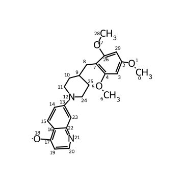 COc1cc(OC)c(CC2CCN(c3ccc4c([O])ccnc4c3)CC2)c(OC)c1